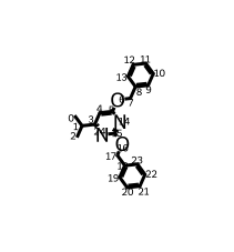 CC(C)c1cc(OCc2ccccc2)nc(OCc2ccccc2)n1